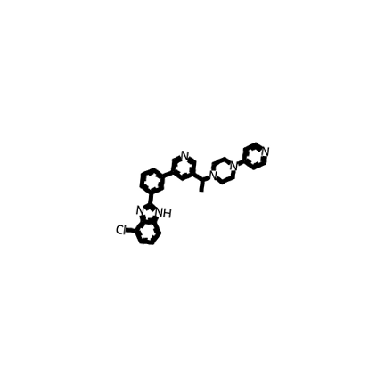 CC(c1cncc(-c2cccc(-c3nc4c(Cl)cccc4[nH]3)c2)c1)N1CCN(c2ccncc2)CC1